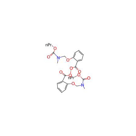 CCCOC(=O)N(C)COc1ccccc1C(=O)OOC(=O)c1ccccc1OCN(C)C(=O)OCCC